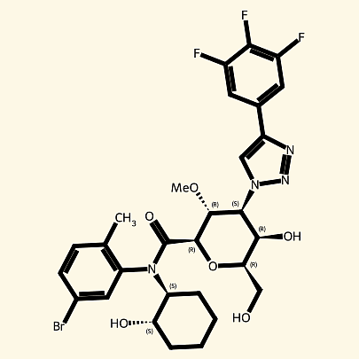 CO[C@@H]1[C@@H](n2cc(-c3cc(F)c(F)c(F)c3)nn2)[C@@H](O)[C@@H](CO)O[C@H]1C(=O)N(c1cc(Br)ccc1C)[C@H]1CCCC[C@@H]1O